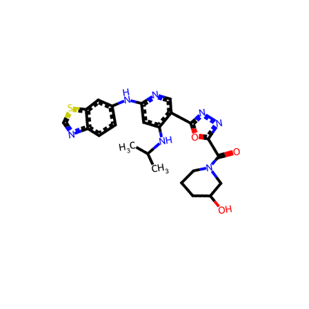 CC(C)Nc1cc(Nc2ccc3ncsc3c2)ncc1-c1nnc(C(=O)N2CCCC(O)C2)o1